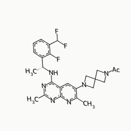 CC(=O)N1CC2(C1)CN(c1cc3c(N[C@H](C)c4cccc(C(F)F)c4F)nc(C)nc3nc1C)C2